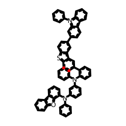 c1ccc(N(c2cccc(N(c3ccccc3)c3cccc4c3oc3ccccc34)c2)c2ccccc2-c2ccc3sc4ccc(-c5ccc6c7ccccc7n(-c7ccccc7)c6c5)cc4c3c2)cc1